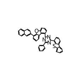 c1ccc(-c2nc(-c3cccc4c3sc3ccccc34)nc(-c3cccc4oc5c(-c6ccc7ccccc7c6)cccc5c34)n2)cc1